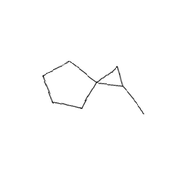 CC1CC12CCCC2